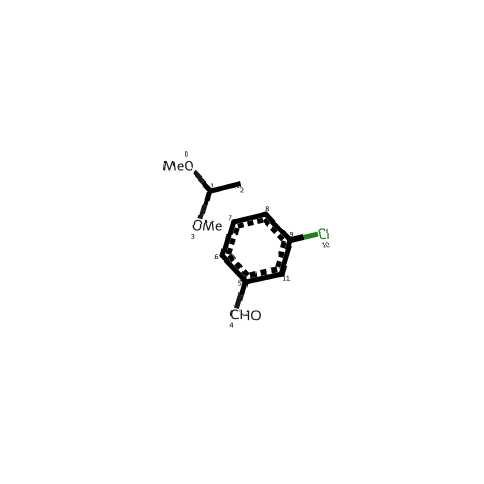 COC(C)OC.O=Cc1cccc(Cl)c1